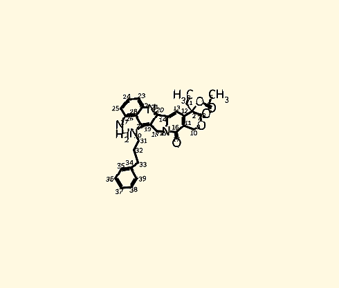 CC[C@@]1(OC(C)=O)C(=O)OCc2c1cc1n(c2=O)Cc2c-1nc1cccc(N)c1c2NCCCc1ccccc1